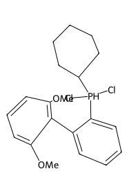 COc1cccc(OC)c1-c1ccccc1[PH](Cl)(Cl)C1CCCCC1